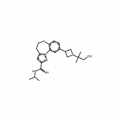 CC(C)NC(=N)c1cc2n(n1)-c1cc(C3CN(C(C)(C)CO)C3)ccc1OCC2